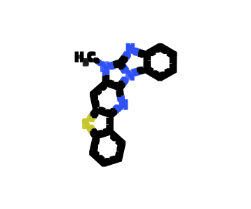 Cn1c2cc3sc4ccccc4c3nc2n2c3ccccc3nc12